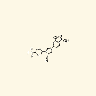 N#Cc1cn(-c2ccc(C(=O)O)c(O)c2)cc1-c1ccc(C(F)(F)F)cc1